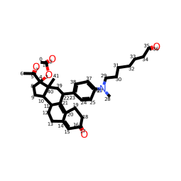 CC(=O)OC1(C(C)=O)CCC2C3CCC4=CC(=O)CCC4=C3C(c3ccc(N(C)CCCCCCC=O)cc3)CC21C